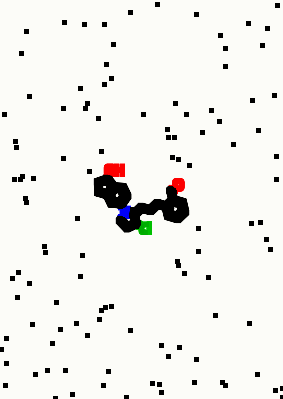 O=Cc1ccccc1CCCC1C(Cl)CCN1c1ccc2c(c1)CCC2O